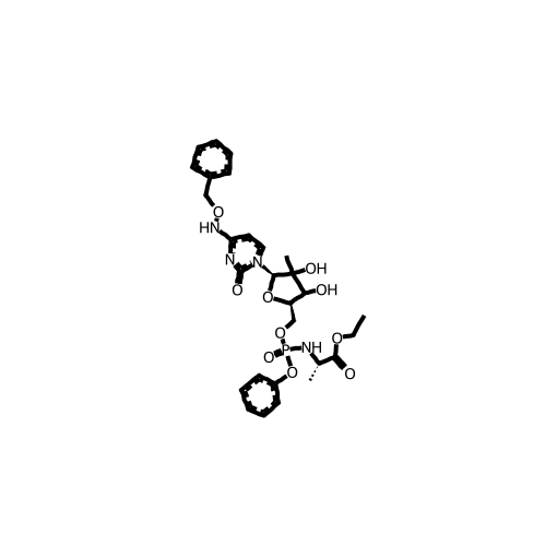 CCOC(=O)[C@H](C)NP(=O)(OC[C@H]1O[C@@H](n2ccc(NOCc3ccccc3)nc2=O)C(C)(O)C1O)Oc1ccccc1